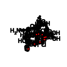 CN[C@H](CC(C)C)C(=O)N[C@H]1C(=O)N[C@@H](CC(=O)NC(=O)c2ccc(OCCCN)c(OCCCN)c2)C(=O)N[C@H]2C(=O)N[C@H]3C(=O)N[C@H](C(=O)N[C@H](C(=O)NC4C5CC6CC(C5)CC4C6)c4cc(O)cc5c4-c4cc3ccc4C5(O)O)[C@H](O)c3ccc(c(Cl)c3)Oc3cc2cc(c3O[C@@H]2O[C@H](CO)[C@@H](O)[C@H](O)[C@H]2O[C@H]2C[C@](C)(N)[C@H](O)[C@H](C)O2)Oc2ccc(cc2Cl)[C@H]1O